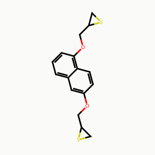 c1cc(OCC2CS2)c2ccc(OCC3CS3)cc2c1